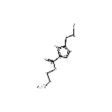 CC(=O)NCCOC(=O)c1ccc(CCI)s1